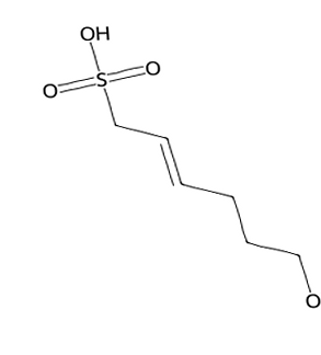 O=S(=O)(O)CC=CCCCO